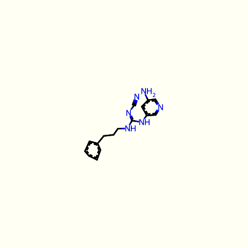 N#CN=C(NCCCc1ccccc1)Nc1cncc(N)c1